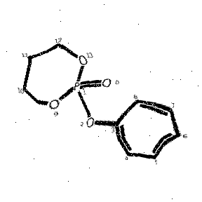 O=P1(Oc2ccccc2)OCCCO1